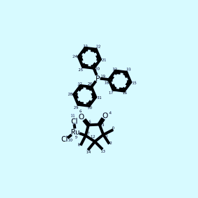 CC1(C)C(=O)C(=O)[C](C)([Ru]([Cl])[Cl])C1(C)C.c1ccc(P(c2ccccc2)c2ccccc2)cc1